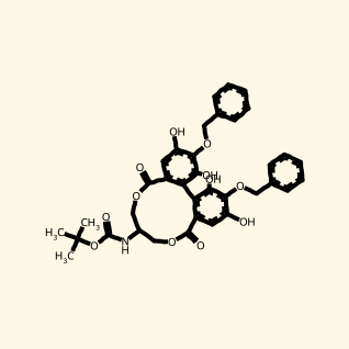 CC(C)(C)OC(=O)NC1COC(=O)c2cc(O)c(OCc3ccccc3)c(O)c2-c2c(cc(O)c(OCc3ccccc3)c2O)C(=O)OC1